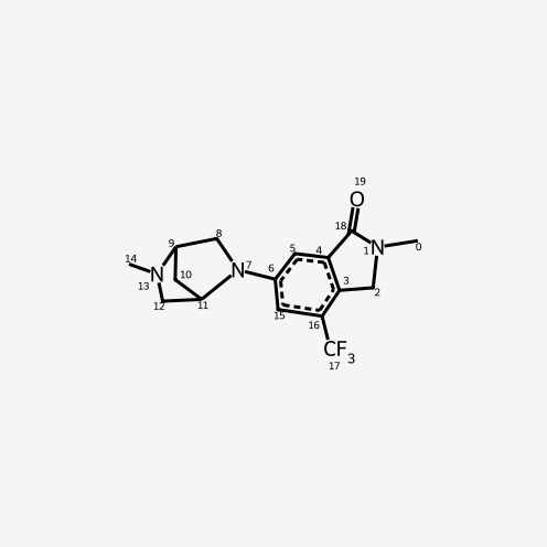 CN1Cc2c(cc(N3CC4CC3CN4C)cc2C(F)(F)F)C1=O